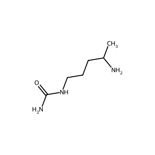 CC(N)CCCNC(N)=O